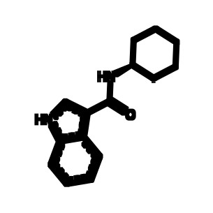 O=C(N[C@@H]1[CH]CCCC1)c1c[nH]c2ccccc12